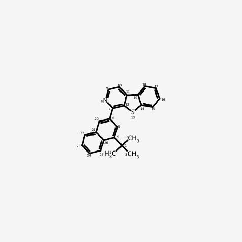 CC(C)(C)c1cc(-c2nccc3c2sc2ccccc23)cc2ccccc12